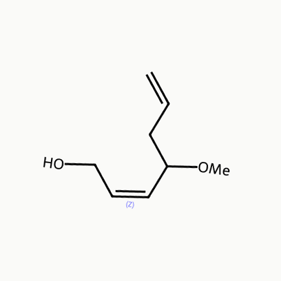 C=CCC(/C=C\CO)OC